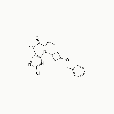 CC[C@@H]1C(=O)N(C)c2cnc(Cl)nc2N1C1CC(OCc2ccccc2)C1